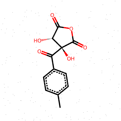 Cc1ccc(C(=O)[C@@]2(O)C(=O)OC(=O)[C@H]2O)cc1